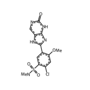 CNS(=O)(=O)c1cc(-c2nc3[nH]c(=O)ncc3[nH]2)c(OC)cc1Cl